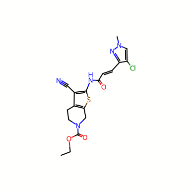 CCOC(=O)N1CCc2c(sc(NC(=O)C=Cc3nn(C)cc3Cl)c2C#N)C1